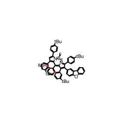 COc1ccccc1/C(=C1/N=C(c2ccc(C(C)(C)C)cc2)C(c2ccc3oc4ccccc4c3c2)=C1c1cccc(C(C)(C)C)c1)c1c(-c2cccc(C(C)(C)C)c2)cc(-c2ccc(C(C)(C)C)cc2)n1B(F)F